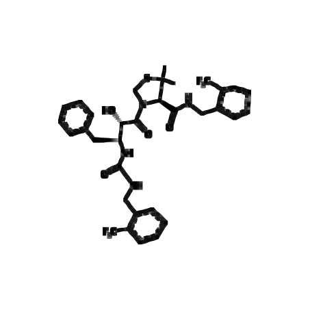 CC1(C)SCN(C(=O)[C@@H](O)[C@H](Cc2ccccc2)NC(=O)NCc2ccccc2C(F)(F)F)[C@@H]1C(=O)NCc1ccccc1C(F)(F)F